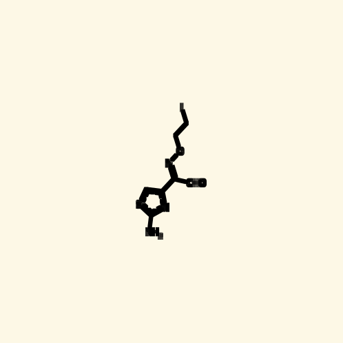 Nc1nc(/C(C=O)=N/OCCI)cs1